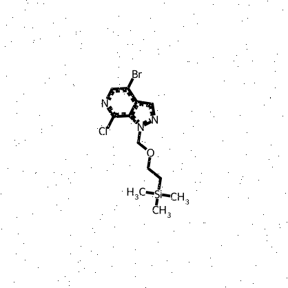 C[Si](C)(C)CCOCn1ncc2c(Br)cnc(Cl)c21